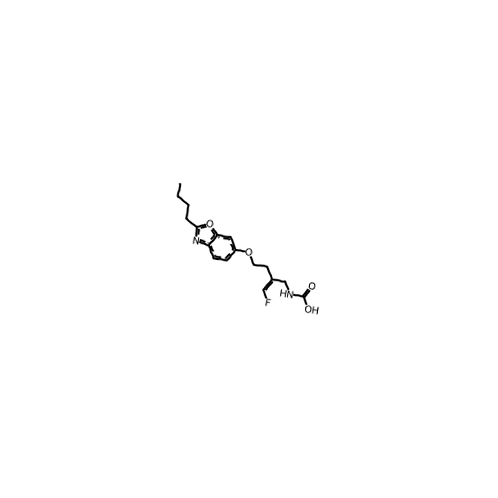 CCCCc1nc2ccc(OCCC(=CF)CNC(=O)O)cc2o1